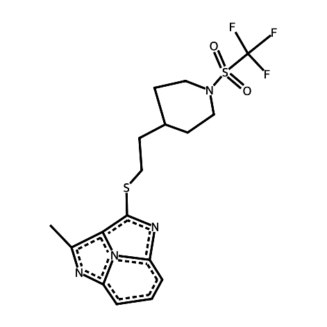 Cc1nc2cccc3nc(SCCC4CCN(S(=O)(=O)C(F)(F)F)CC4)c1n23